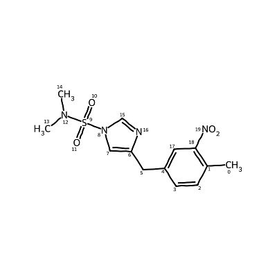 Cc1ccc(Cc2cn(S(=O)(=O)N(C)C)cn2)cc1[N+](=O)[O-]